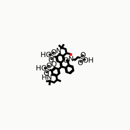 CC1CC(C)(C)Nc2c1cc1c(c2S(=O)(=O)O)Oc2c(S(=O)(=O)O)c3c(cc2=C1c1ccccc1C(=O)N(C)CCS(=O)(=O)O)C(C)CC(C)(C)N=3